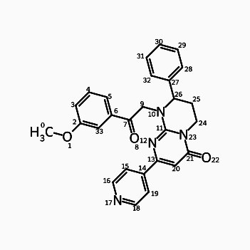 COc1cccc(C(=O)CN2c3nc(-c4ccncc4)cc(=O)n3CCC2c2ccccc2)c1